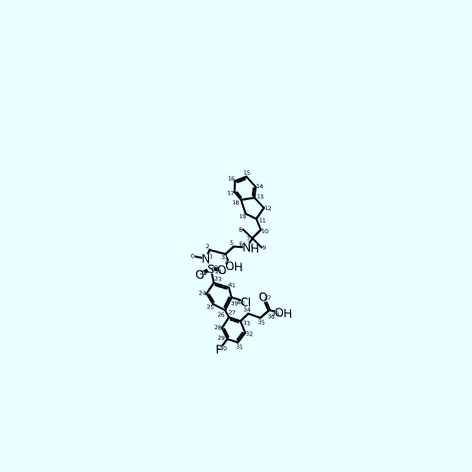 CN(C[C@H](O)CNC(C)(C)CC1Cc2ccccc2C1)S(=O)(=O)c1ccc(-c2cc(F)ccc2CCC(=O)O)c(Cl)c1